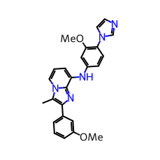 COc1cccc(-c2nc3c(Nc4ccc(-n5ccnc5)c(OC)c4)cccn3c2C)c1